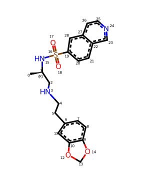 C[C@H](CNCCc1ccc2c(c1)OCO2)NS(=O)(=O)c1ccc2cnccc2c1